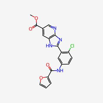 COC(=O)c1cnc2nc(-c3cc(NC(=O)c4ccco4)ccc3Cl)[nH]c2c1